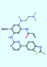 C=CC(=O)Nc1cc(Nc2nccc(-c3ccc4nc(C)sc4c3)n2)c(OC)cc1N(C)CCN(C)C